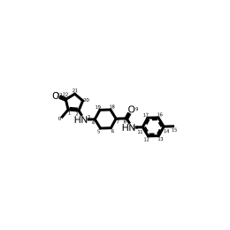 CC1=C(NC2CCC(C(=O)Nc3ccc(C)cc3)CC2)CCC1=O